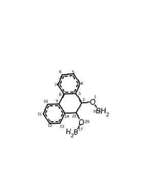 BOC1c2ccccc2-c2ccccc2C1OB